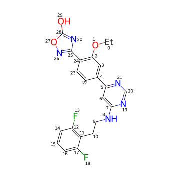 CCOc1cc(-c2cc(NCCc3c(F)cccc3F)ncn2)ccc1-c1noc(O)n1